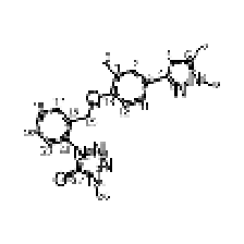 Cc1cc(-c2cc(C)n(C)n2)ccc1OCc1ccccc1-n1nnn(C)c1=O